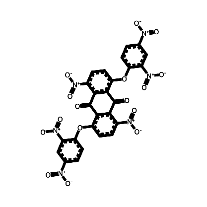 O=C1c2c(Oc3ccc([N+](=O)[O-])cc3[N+](=O)[O-])ccc([N+](=O)[O-])c2C(=O)c2c(Oc3ccc([N+](=O)[O-])cc3[N+](=O)[O-])ccc([N+](=O)[O-])c21